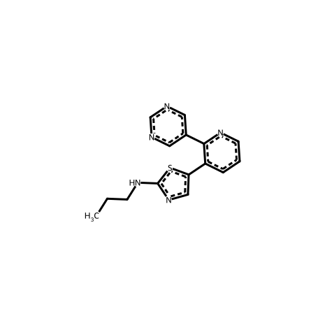 CCCNc1ncc(-c2cccnc2-c2cncnc2)s1